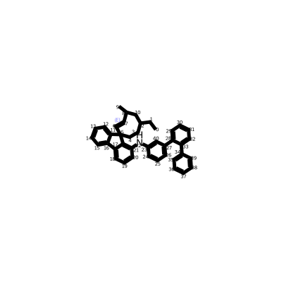 CCC1CCC2(/C=C/C(C)C1)c1ccccc1-c1cccc(Nc3cccc(-c4ccccc4-c4ccccc4)c3)c12